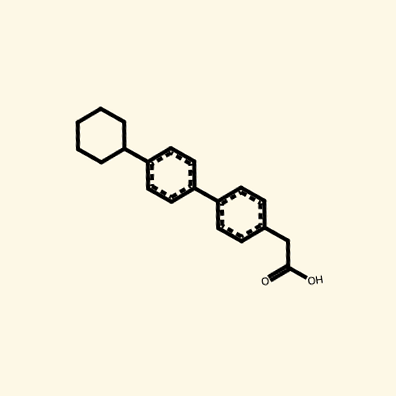 O=C(O)Cc1ccc(-c2ccc(C3CCCCC3)cc2)cc1